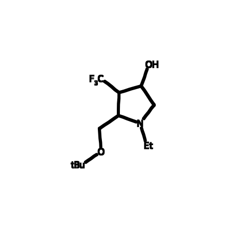 CCN1CC(O)C(C(F)(F)F)C1COC(C)(C)C